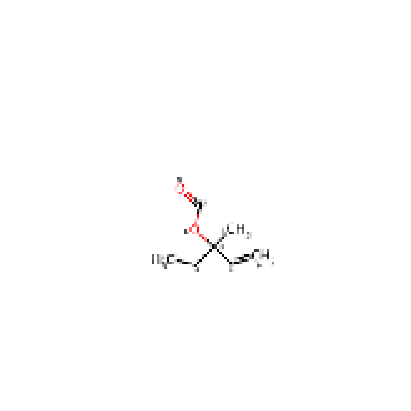 C=CC(C)(CC)O[C]=O